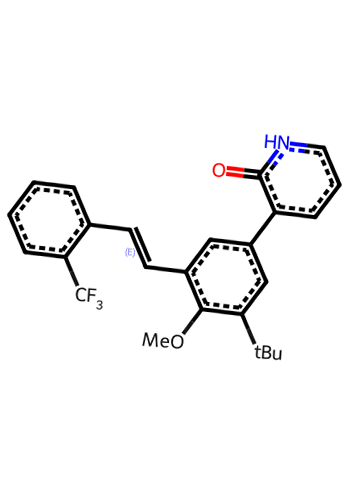 COc1c(/C=C/c2ccccc2C(F)(F)F)cc(-c2ccc[nH]c2=O)cc1C(C)(C)C